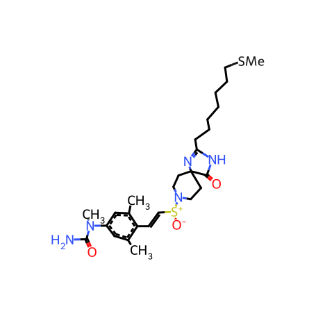 CSCCCCCCCC1=NC2(CCN([S@@+]([O-])/C=C/c3c(C)cc(N(C)C(N)=O)cc3C)CC2)C(=O)N1